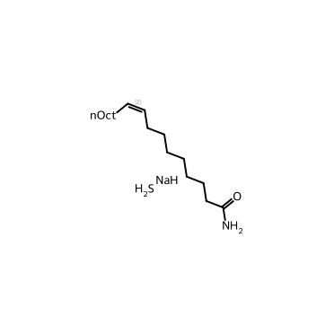 CCCCCCCC/C=C\CCCCCCCC(N)=O.S.[NaH]